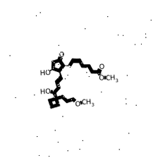 COCCCC1(C(O)C/C=C/[C@H]2[C@H](O)CC(=O)[C@@H]2C/C=C\CCCC(=O)OC)CCC1